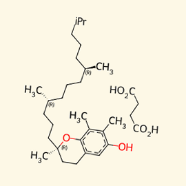 Cc1c(O)cc2c(c1C)O[C@](C)(CCC[C@H](C)CCC[C@H](C)CCCC(C)C)CC2.O=C(O)CCC(=O)O